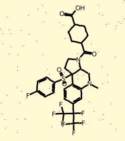 CN1CC2N(C(=O)C3CCC(C(=O)O)CC3)CCC2(S(=O)(=O)c2ccc(F)cc2)c2ccc(C(F)(C(F)(F)F)C(F)(F)F)cc21